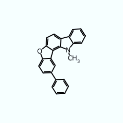 Cn1c2ccccc2c2ccc3oc4ccc(-c5ccccc5)cc4c3c21